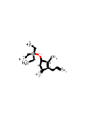 C=CCC1=C(C)C(O[Si](CC)(CC)CC)CC1=C